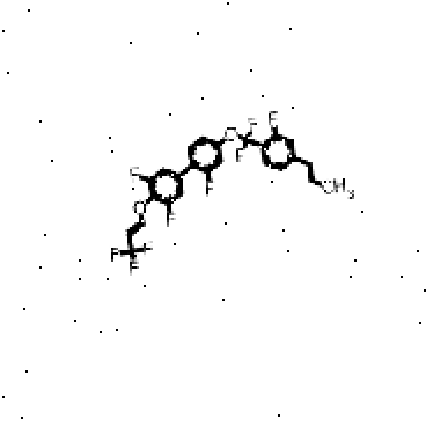 CCCc1ccc(C(F)(F)Oc2ccc(-c3cc(F)c(O/C=C/C(F)(F)F)c(F)c3)c(F)c2)c(F)c1